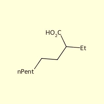 [CH2]CC(CCCCCCC)C(=O)O